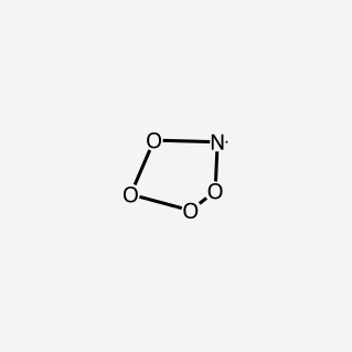 [N]1OOOO1